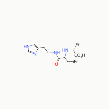 CC[C@@H](NC(CC(C)C)C(=O)NCCc1c[nH]cn1)C(=O)O